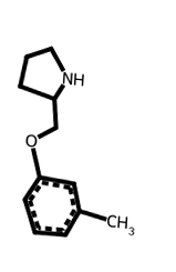 Cc1cccc(OCC2CCCN2)c1